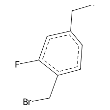 [CH2]Cc1ccc(CBr)c(F)c1